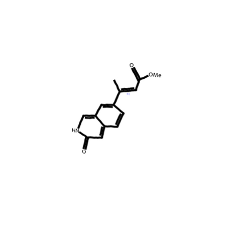 COC(=O)/C=C(\C)c1ccc2cc(=O)[nH]cc2c1